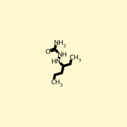 CCCC(CC)NNC(N)=O